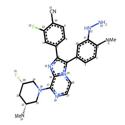 CNc1ccc(-c2c(-c3ccc(C#N)c(F)c3)nc3c(N4C[C@@H](F)C[C@@H](NC)C4)nccn23)cc1NN